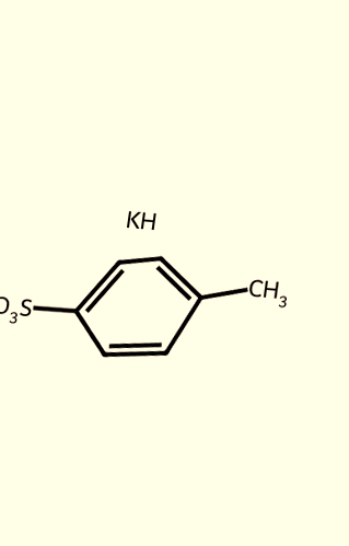 Cc1ccc(S(=O)(=O)O)cc1.[KH]